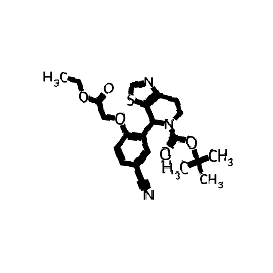 CCOC(=O)COc1ccc(C#N)cc1C1c2scnc2CCN1C(=O)OC(C)(C)C